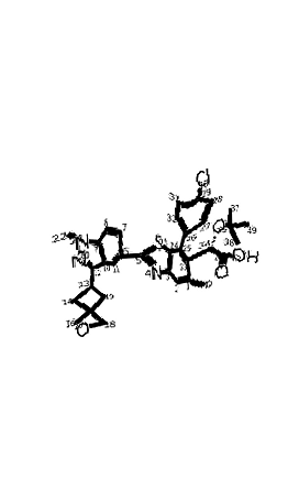 Cc1cc2nc(-c3ccc4c(c3)c(C3CC5(COC5)C3)nn4C)sc2c(-c2ccc(Cl)cc2)c1[C@H](OC(C)(C)C)C(=O)O